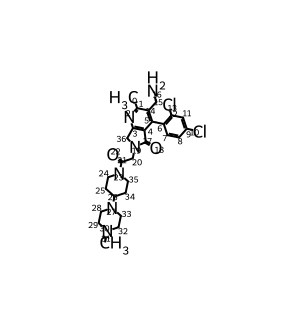 Cc1nc2c(c(-c3ccc(Cl)cc3Cl)c1CN)C(=O)N(CC(=O)N1CCC(N3CCN(C)CC3)CC1)C2